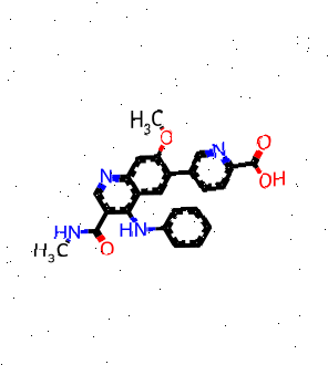 CNC(=O)c1cnc2cc(OC)c(-c3ccc(C(=O)O)nc3)cc2c1Nc1ccccc1